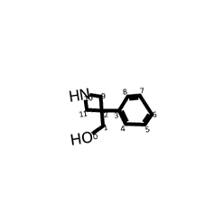 OCC1(c2ccccc2)CNC1